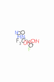 CC(C)(CC(O)(CNc1cccc2cnccc12)C(F)(F)F)c1cc(F)ccc1O